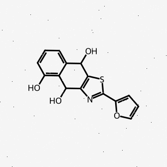 Oc1cccc2c1C(O)c1nc(-c3ccco3)sc1C2O